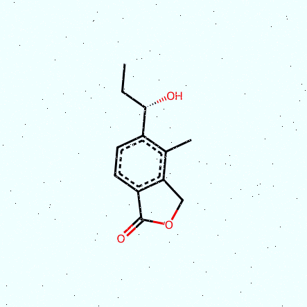 CC[C@H](O)c1ccc2c(c1C)COC2=O